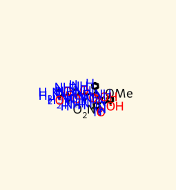 COc1ccc(O)c(CN(c2ccc([N+](=O)[O-])c3nonc23)C(O)C(=O)NC(C(=O)NC(NC(=N)N)C(=O)NC(NC(=N)N)C(=O)NC(NC(=N)N)C(=O)NC(NC(=N)N)C(N)=O)c2ccccc2)c1